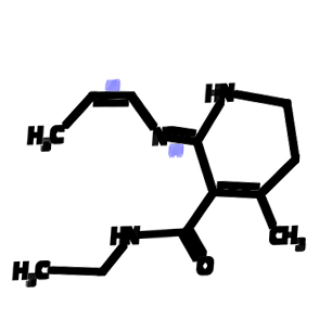 C/C=C\N=C1/NCCC(C)=C1C(=O)NCC